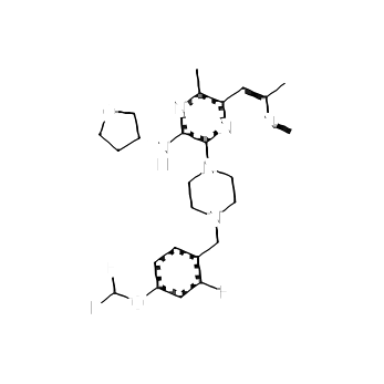 C=N/C(C)=C\c1nc(N2CCN(Cc3ccc(OC(F)F)cc3F)CC2)c(N[C@@H]2CCOC2)nc1C